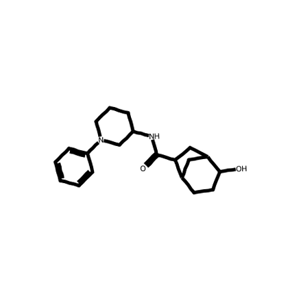 O=C(NC1CCCN(c2ccccc2)C1)C1CC2CC1CCC2O